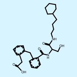 O=C(O)Cc1ccccc1Cc1ccccc1C(=O)NC(CO)C(=O)NCCCCC1CCCCC1